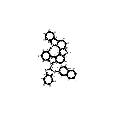 c1ccc2cc(-n3c(-n4c5ccc6sc7ccc8c9ccccc9n9c%10cccc4c%10c5c6c7c89)nc4ccccc43)ccc2c1